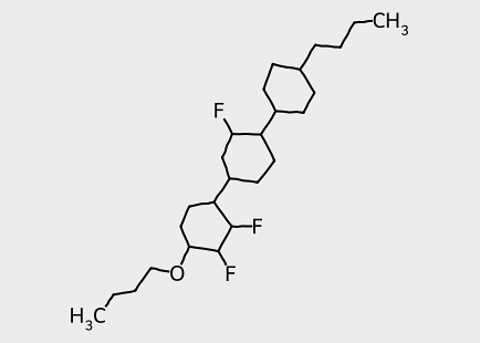 CCCCOC1CCC(C2CCC(C3CCC(CCCC)CC3)C(F)C2)C(F)C1F